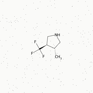 C[C@H]1CNC[C@@H]1C(F)(F)F